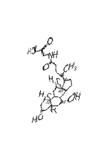 C[C@H](CCC(=O)NCC(=O)O)[C@H]1CCC2C3C(CC[C@@]21C)[C@@]1(C)CC[C@@H](O)C[C@H]1C[C@H]3O